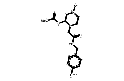 COC(=O)OC1CN(C(C)=O)CCN1CC(=O)NCc1ccc(OC)cc1